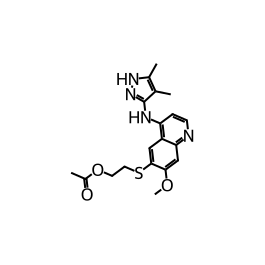 COc1cc2nccc(Nc3n[nH]c(C)c3C)c2cc1SCCOC(C)=O